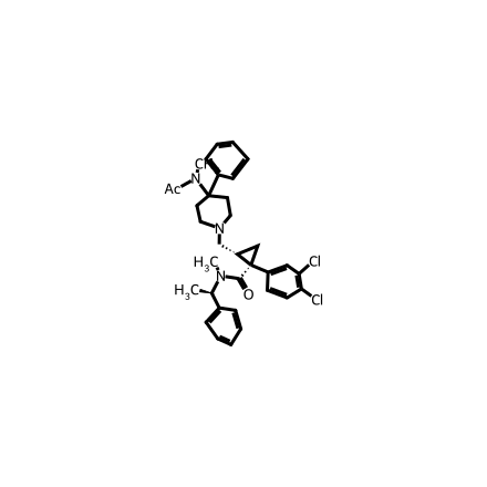 CC(=O)N(C)C1(c2ccccc2)CCN(C[C@@H]2C[C@@]2(C(=O)N(C)[C@H](C)c2ccccc2)c2ccc(Cl)c(Cl)c2)CC1